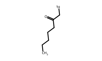 [2H]CC(=O)CCCCC